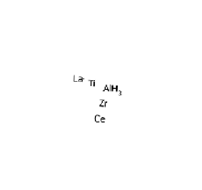 [AlH3].[Ce].[La].[Ti].[Zr]